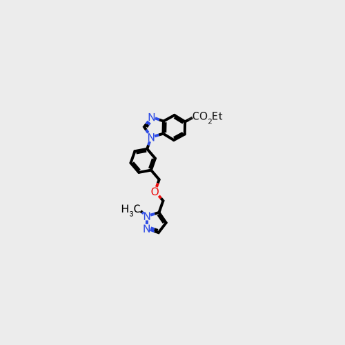 CCOC(=O)c1ccc2c(c1)ncn2-c1cccc(COCc2ccnn2C)c1